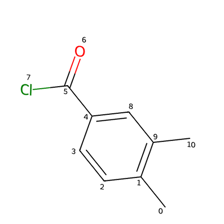 Cc1ccc(C(=O)Cl)cc1C